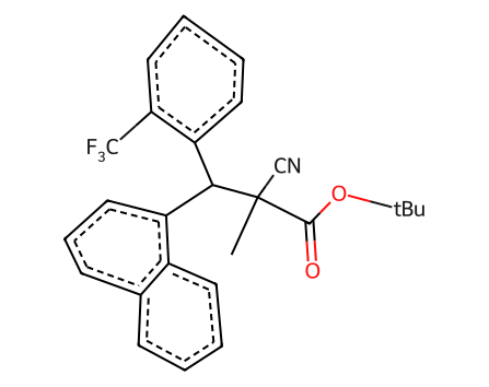 CC(C)(C)OC(=O)C(C)(C#N)C(c1ccccc1C(F)(F)F)c1cccc2ccccc12